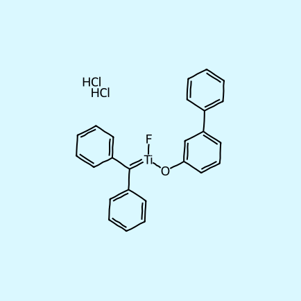 Cl.Cl.[F][Ti]([O]c1cccc(-c2ccccc2)c1)=[C](c1ccccc1)c1ccccc1